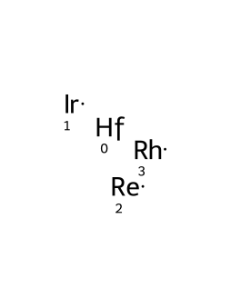 [Hf].[Ir].[Re].[Rh]